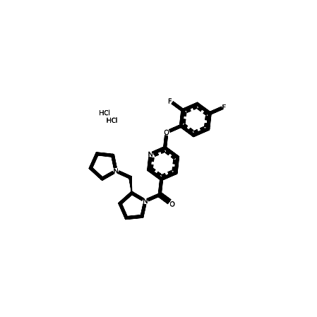 Cl.Cl.O=C(c1ccc(Oc2ccc(F)cc2F)nc1)N1CCC[C@H]1CN1CCCC1